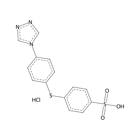 Cl.O=S(=O)(O)c1ccc(Sc2ccc(-n3cnnc3)cc2)cc1